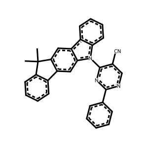 CC1(C)c2ccccc2-c2cc3c(cc21)c1ccccc1n3-c1nc(-c2ccccc2)ncc1C#N